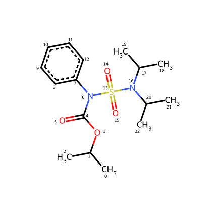 CC(C)OC(=O)N(c1ccccc1)S(=O)(=O)N(C(C)C)C(C)C